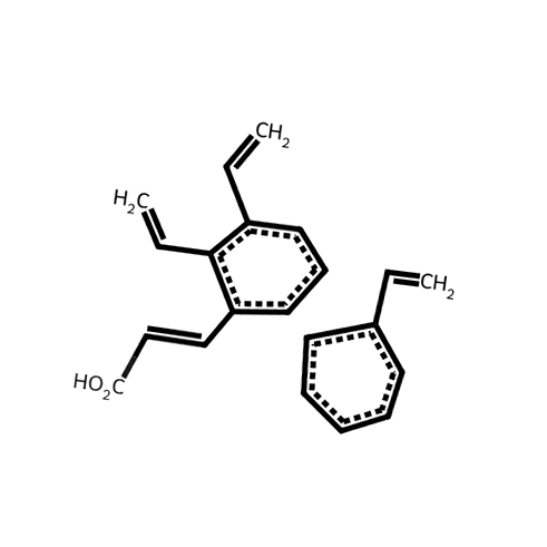 C=Cc1cccc(C=CC(=O)O)c1C=C.C=Cc1ccccc1